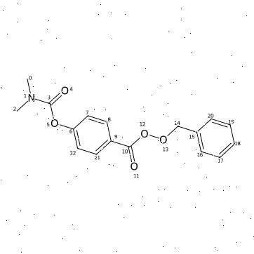 CN(C)C(=O)Oc1ccc(C(=O)OOCc2ccccc2)cc1